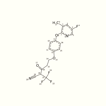 Cc1cc(F)cnc1Oc1ccc(OCCC(=O)C(C#N)C(F)(F)F)cc1